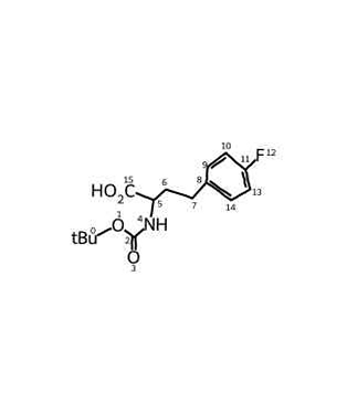 CC(C)(C)OC(=O)NC(CCc1ccc(F)cc1)C(=O)O